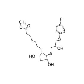 COC(=O)CCCCCC[C@H]1C(O)CC(O)[C@@H]1SCC(O)COc1ccc(F)cc1